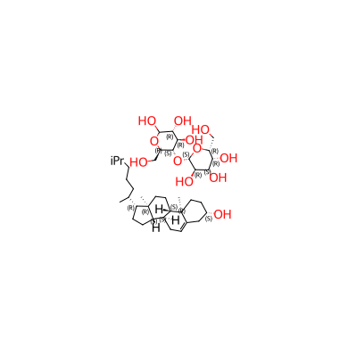 CC(C)CCCC(C)[C@H]1CC[C@H]2[C@@H]3CC=C4C[C@@H](O)CC[C@]4(C)[C@H]3CC[C@]12C.OC[C@H]1O[C@@H](O[C@H]2[C@H](O)[C@@H](O)C(O)O[C@@H]2CO)[C@H](O)[C@@H](O)[C@H]1O